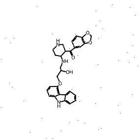 O=C(c1ccc2c(c1)OCO2)C1CNCCC1NCC(O)COc1cccc2[nH]c3ccccc3c12